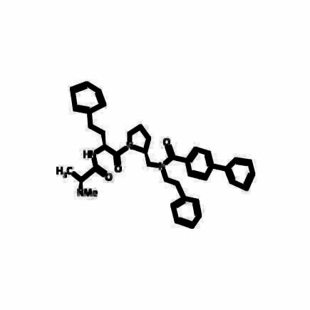 CN[C@@H](C)C(=O)N[C@@H](CCc1ccccc1)C(=O)N1CCC[C@H]1CN(CCc1ccccc1)C(=O)c1ccc(-c2ccccc2)cc1